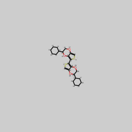 c1sc(-c2scc3c2OC(C2CCCCC2)CO3)c2c1OC(C1CCCCC1)CO2